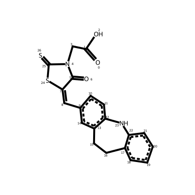 O=C(O)CN1C(=O)/C(=C\c2ccc3c(c2)CCc2ccccc2N3)SC1=S